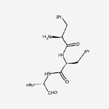 CCCC[C@@H](C=O)NC(=O)[C@H](CC(C)C)NC(=O)[C@@H](N)CC(C)C